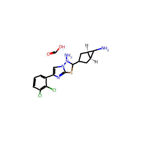 NC1[C@H]2CC(C3Sc4nc(-c5cccc(Cl)c5Cl)cn4N3N)C[C@@H]12.O=CO